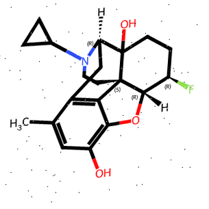 Cc1cc(O)c2c3c1C[C@H]1N(C4CC4)CC[C@@]34[C@@H](O2)[C@H](F)CCC14O